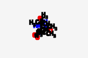 CC(=O)c1c(C)[nH]c(C(c2ccc([N+](=O)[O-])cc2)c2[nH]c(C)c(C(C)=O)c2C)c1C